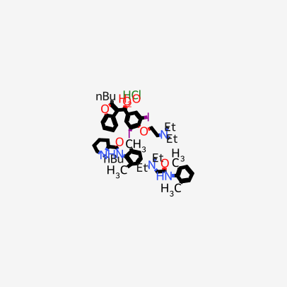 CCCCN1CCCCC1C(=O)Nc1c(C)cccc1C.CCCCc1oc2ccccc2c1C(=O)c1cc(I)c(OCCN(CC)CC)c(I)c1.CCN(CC)CC(=O)Nc1c(C)cccc1C.Cl.O